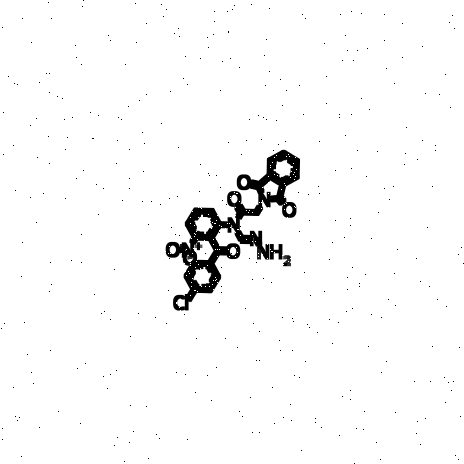 NN=CN(C(=O)CN1C(=O)c2ccccc2C1=O)c1cccc([N+](=O)[O-])c1C(=O)c1ccc(Cl)cc1